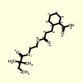 CCC(C)(C)C(=O)OCCOC(=O)CCC1CCCCC1C(=O)O